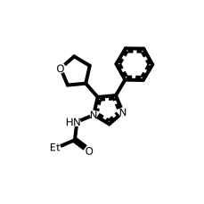 CCC(=O)Nn1cnc(-c2ccccc2)c1C1CCOC1